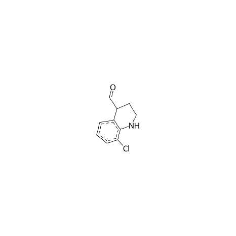 O=CC1CCNc2c(Cl)cccc21